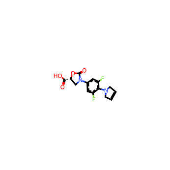 O=C(O)[C@H]1CN(c2cc(F)c(N3CC=CC3)c(F)c2)C(=O)O1